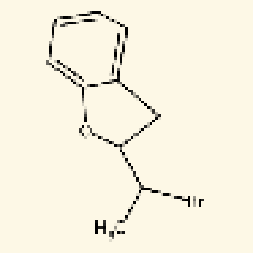 CC(Br)C1Cc2ccccc2O1